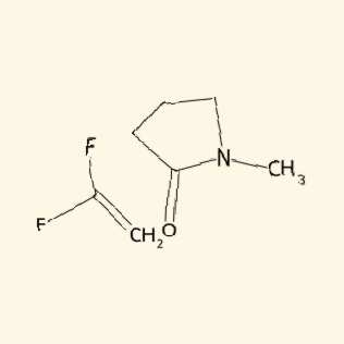 C=C(F)F.CN1CCCC1=O